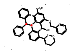 CC(C)(C)c1c(C(=O)O)cc(OCc2ccccc2)c(C(O)c2c(OCc3ccccc3)cccc2C2CCCOO2)c1OCc1ccccc1